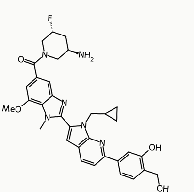 COc1cc(C(=O)N2C[C@H](N)C[C@@H](F)C2)cc2nc(-c3cc4ccc(-c5ccc(CO)c(O)c5)nc4n3CC3CC3)n(C)c12